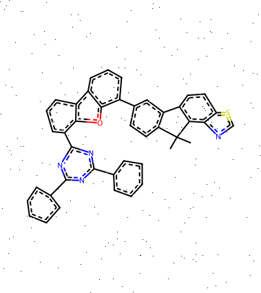 CC1(C)c2ccc(-c3cccc4c3oc3c(-c5nc(-c6ccccc6)nc(-c6ccccc6)n5)cccc34)cc2-c2ccc3scnc3c21